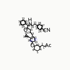 CC(=O)CCC1CCCC(OC(/C=C\CCCCC(=O)C(NCCc2ccc(C#N)cc2)c2ccccc2)=C/CC2=CC2)C1